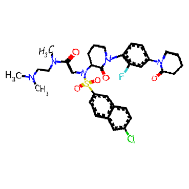 CN(C)CCN(C)C(=O)CN(C1CCCN(c2ccc(N3CCCCC3=O)cc2F)C1=O)S(=O)(=O)c1ccc2cc(Cl)ccc2c1